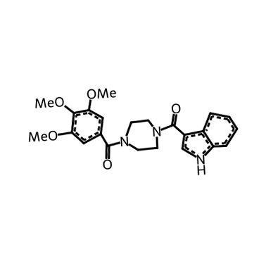 COc1cc(C(=O)N2CCN(C(=O)c3c[nH]c4ccccc34)CC2)cc(OC)c1OC